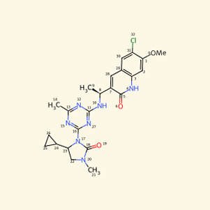 COc1cc2[nH]c(=O)c([C@H](C)Nc3nc(C)nc(N4C(=O)N(C)CC4C4CC4)n3)cc2cc1Cl